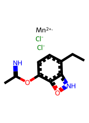 CCc1ccc(OC(C)=N)c2o[nH]c12.[Cl-].[Cl-].[Mn+2]